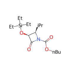 CCCCOC(=O)N1C(=O)[C@@H](O[Si](CC)(CC)CC)[C@H]1C(C)C